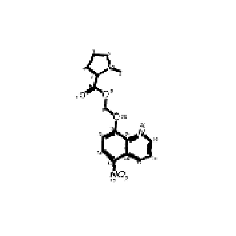 CN1CCCC1C(=O)OCOc1ccc([N+](=O)[O-])c2cccnc12